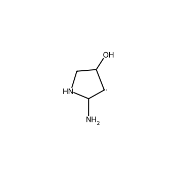 NC1[CH]C(O)CN1